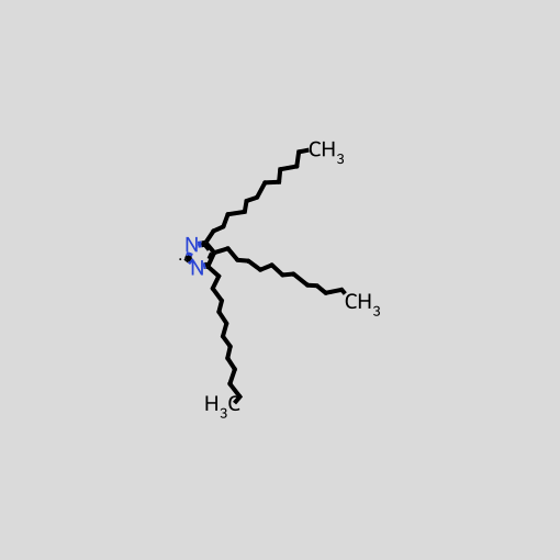 CCCCCCCCCCCCc1n[c]nc(CCCCCCCCCCCC)c1CCCCCCCCCCCC